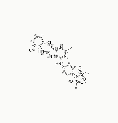 Cc1nc(Nc2ccc(N(S(C)(=O)=O)S(C)(=O)=O)cc2)c2nc(Nc3c(Cl)cccc3Cl)sc2n1